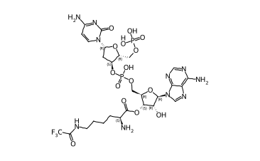 Nc1ccn([C@H]2C[C@H](OP(=O)(O)OC[C@H]3O[C@@H](n4cnc5c(N)ncnc54)[C@H](O)[C@@H]3OC(=O)[C@@H](N)CCCCNC(=O)C(F)(F)F)[C@@H](COP(=O)(O)O)O2)c(=O)n1